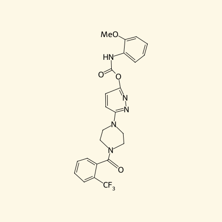 COc1ccccc1NC(=O)Oc1ccc(N2CCN(C(=O)c3ccccc3C(F)(F)F)CC2)nn1